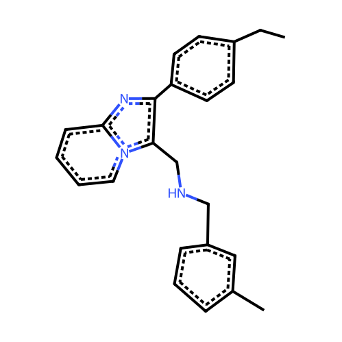 CCc1ccc(-c2nc3ccccn3c2CNCc2cccc(C)c2)cc1